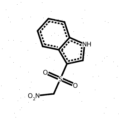 O=[N+]([O-])CS(=O)(=O)c1c[nH]c2ccccc12